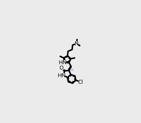 Cc1[nH]c(/C=C2\C(=O)Nc3ccc(Cl)cc32)c(C)c1CCCN(C)C